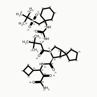 CC(C)(C)[C@H](NC(=O)NC1(CS(=O)(=O)C(C)(C)C)CCCCC1)C(=O)N1CC2C([C@H]1C(=O)NC(C(=O)C(N)=O)C1CCC1)C21CCCC1